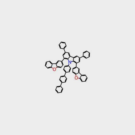 c1ccc(-c2ccc(-c3ccc(-n4c5c(-c6ccc7oc8ccccc8c7c6)cc(-c6ccccc6)cc5c5cc(-c6ccccc6)cc(-c6ccc7oc8ccccc8c7c6)c54)cc3)cc2)cc1